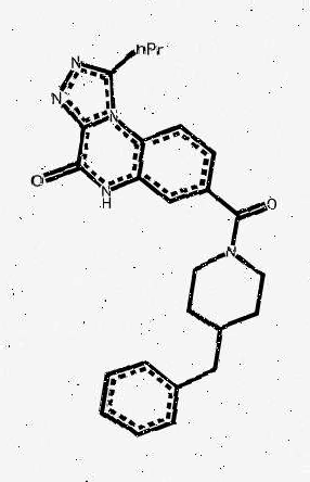 CCCc1nnc2c(=O)[nH]c3cc(C(=O)N4CCC(Cc5ccccc5)CC4)ccc3n12